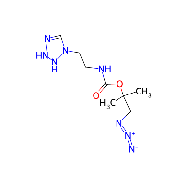 CC(C)(CN=[N+]=[N-])OC(=O)NCCN1C=NNN1